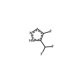 Fc1[c]n[nH]c1C(F)F